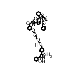 C[C@@H](C(=O)N[C@H](C(=O)N1CCC[C@H]1c1nc(C(=O)c2cccc(OCCOCCOCCNCc3ccc(-c4cc(-c5ccccc5O)nnc4N)cc3)c2)cs1)C1CCCCC1)N(C)C(=O)OCc1ccccc1